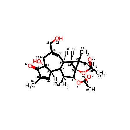 CC(=O)O[C@@H]1[C@@H](C)C2[C@@H](C=C(CO)C[C@]3(O)C(=O)C(C)=C[C@@H]23)[C@@H]2C(C)(C)[C@]12OC(C)=O